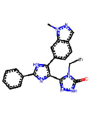 CC(C)Cn1c(-c2nc(-c3ccccc3)[nH]c2-c2ccc3cnn(C)c3c2)n[nH]c1=O